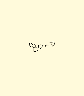 Cc1ccccc1OCC(=O)Nc1ccc(N2C(=O)CC(=O)Nc3c2ccc2ccccc32)cc1